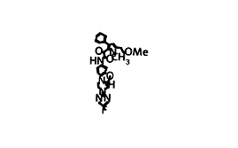 COCCc1cc(-c2ccccc2)c(C(=O)C(=O)Nc2ccc3c(c2)OC[C@H]2CN(c4ncc(F)cn4)CCN32)n1C